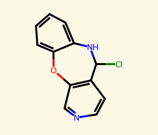 ClC1Nc2ccccc2Oc2cnccc21